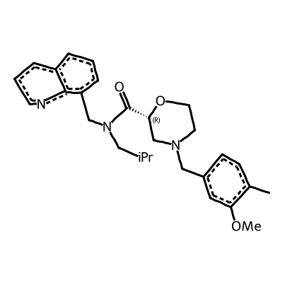 COc1cc(CN2CCO[C@@H](C(=O)N(Cc3cccc4cccnc34)CC(C)C)C2)ccc1C